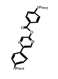 CCCCCc1ccc(C(=O)Oc2cnc(-c3ccc(CCCCC)cc3)cn2)cc1